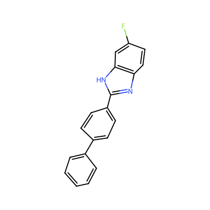 Fc1ccc2nc(-c3ccc(-c4ccccc4)cc3)[nH]c2c1